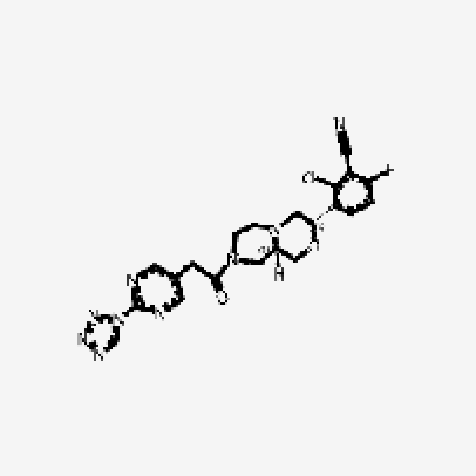 N#Cc1c(F)ccc([C@H]2CN3CCN(C(=O)Cc4cnc(-n5cnnn5)nc4)C[C@H]3CO2)c1Cl